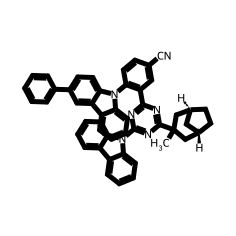 CC1(c2nc(-c3cc(C#N)ccc3-n3c4ccccc4c4cc(-c5ccccc5)ccc43)nc(-n3c4ccccc4c4ccccc43)n2)C[C@H]2CC[C@@H](C2)C1